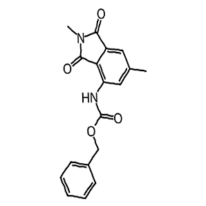 Cc1cc(NC(=O)OCc2ccccc2)c2c(c1)C(=O)N(C)C2=O